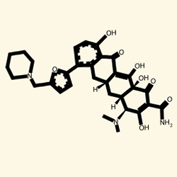 CN(C)[C@@H]1C(O)=C(C(N)=O)C(=O)[C@@]2(O)C(O)=C3C(=O)c4c(O)ccc(-c5ccc(CN6CCCCC6)o5)c4C[C@H]3C[C@@H]12